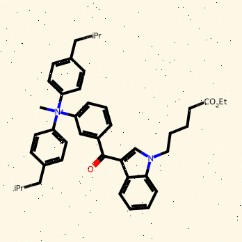 CCOC(=O)CCCCn1cc(C(=O)c2cccc([N+](C)(c3ccc(CC(C)C)cc3)c3ccc(CC(C)C)cc3)c2)c2ccccc21